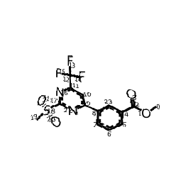 COC(=O)c1cccc(-c2cc(C(F)(F)F)nc(S(C)(=O)=O)n2)c1